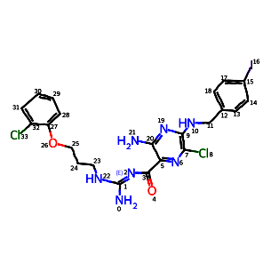 N/C(=N\C(=O)c1nc(Cl)c(NCc2ccc(I)cc2)nc1N)NCCCOc1ccccc1Cl